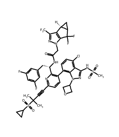 CC(C)(C#Cc1ccc(-c2ccc(Cl)c3c(NS(C)(=O)=O)nn(C4COC4)c23)c([C@H](Cc2cc(F)cc(F)c2)NC(=O)Cn2nc(C(F)(F)F)c3c2C(F)(F)C2C[C@H]32)n1)S(=O)(=O)C1CC1